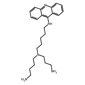 NCCCCN(CCCN)CCCCCNc1c2ccccc2nc2ccccc12